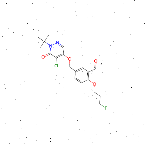 CC(C)(C)n1ncc(OCc2ccc(OCCCF)c(C=O)c2)c(Cl)c1=O